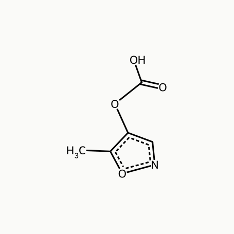 Cc1oncc1OC(=O)O